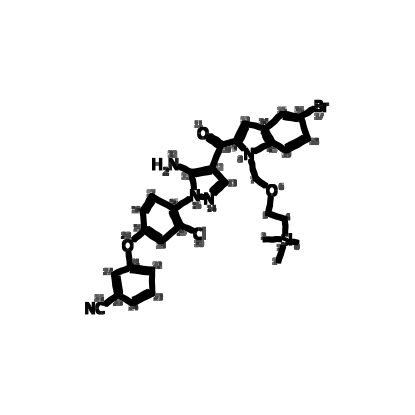 C[Si](C)(C)CCOCn1c(C(=O)c2cnn(-c3ccc(Oc4cccc(C#N)c4)cc3Cl)c2N)cc2cc(Br)ccc21